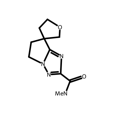 CNC(=O)c1nc2n(n1)CCC21CCOC1